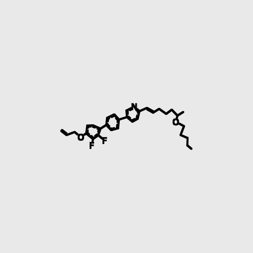 C=CCOc1ccc(-c2ccc(-c3ccc(C=CCCCC(C)OCCCCC)nc3)cc2)c(F)c1F